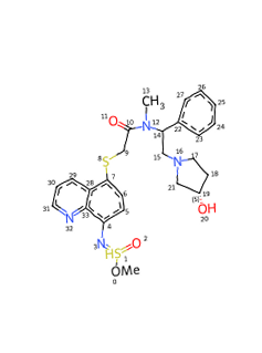 CO[SH](=O)=Nc1ccc(SCC(=O)N(C)C(CN2CC[C@H](O)C2)c2ccccc2)c2cccnc12